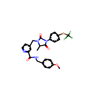 COc1ccc(CNC(=O)c2cc(CN3C(=O)N(c4ccc(SC(F)(F)F)cc4)C(=O)C3C)ccn2)cc1